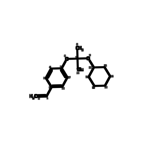 C=Cc1ccc(OC(C)(OC2CCCCC2)C(C)(C)C)cc1